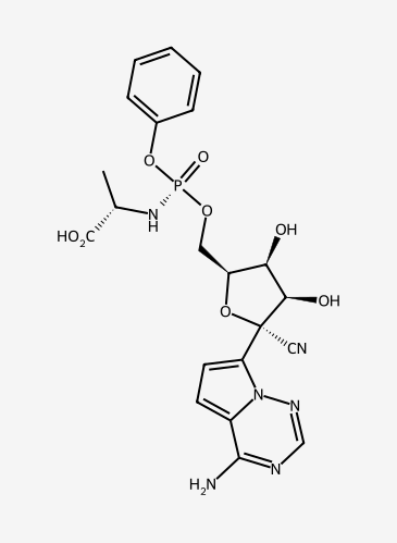 C[C@H](N[P@](=O)(OC[C@@H]1O[C@](C#N)(c2ccc3c(N)ncnn23)[C@H](O)[C@@H]1O)Oc1ccccc1)C(=O)O